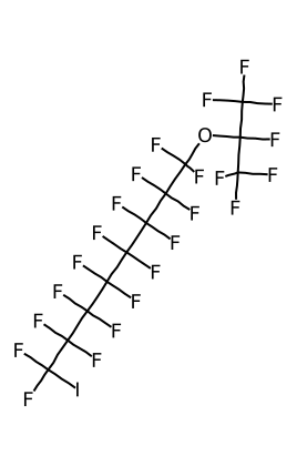 FC(F)(F)C(F)(OC(F)(F)C(F)(F)C(F)(F)C(F)(F)C(F)(F)C(F)(F)C(F)(F)C(F)(F)I)C(F)(F)F